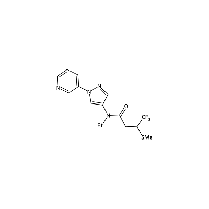 CCN(C(=O)CC(SC)C(F)(F)F)c1cnn(-c2cccnc2)c1